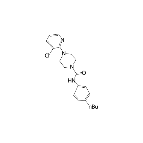 CCCCc1ccc(NC(=O)N2CCN(c3ncccc3Cl)CC2)cc1